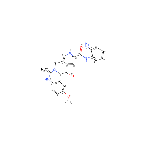 C=C(Nc1ccc(OC)cc1)N(CCO)Cc1ccc(C(=O)Nc2ccccc2N)nc1